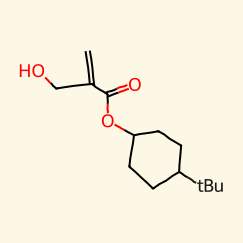 C=C(CO)C(=O)OC1CCC(C(C)(C)C)CC1